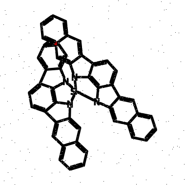 c1ccc2cc3c(cc2c1)c1ccc2c4cc5ccccc5cc4n4c2c1n3[Si]41n2c3cc4ccccc4cc3c3ccc4c5cc6ccccc6cc5n1c4c32